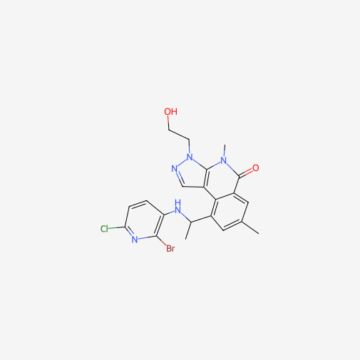 Cc1cc(C(C)Nc2ccc(Cl)nc2Br)c2c(c1)c(=O)n(C)c1c2cnn1CCO